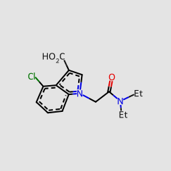 CCN(CC)C(=O)Cn1cc(C(=O)O)c2c(Cl)cccc21